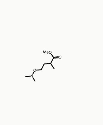 COC(=O)C(C)CCON(C)C